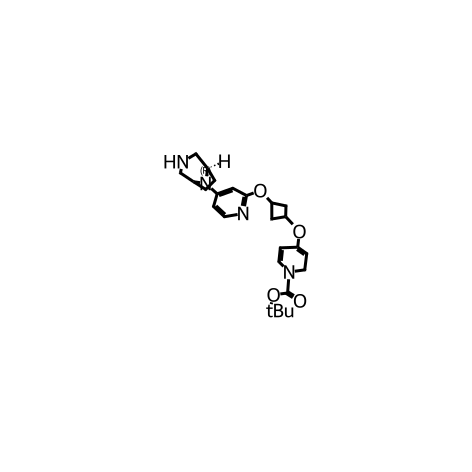 CC(C)(C)OC(=O)N1C=CC(OC2CC(Oc3cc(N4C5CC[C@@H]4CNC5)ccn3)C2)=CC1